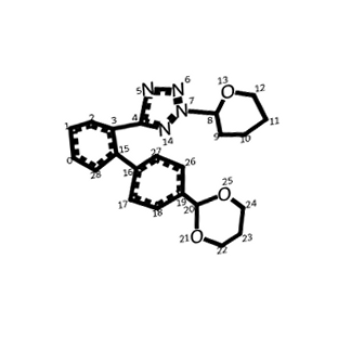 c1ccc(-c2nnn(C3CCCCO3)n2)c(-c2ccc(C3OCCCO3)cc2)c1